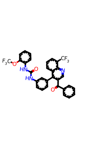 O=C(Nc1cccc(-c2c(C(=O)c3ccccc3)cnc3c(C(F)(F)F)cccc23)c1)Nc1ccccc1OC(F)(F)F